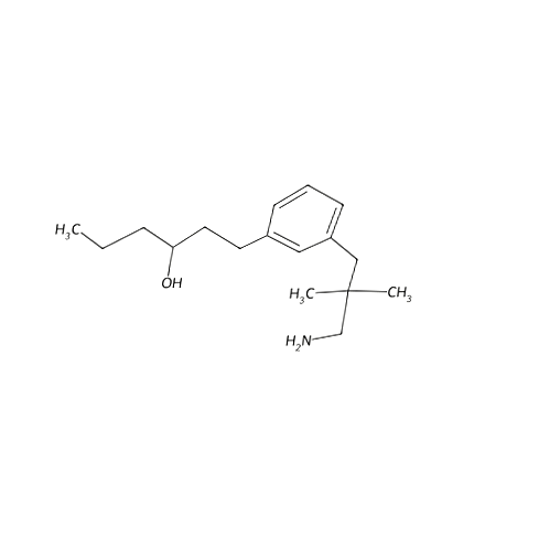 CCCC(O)CCc1cccc(CC(C)(C)CN)c1